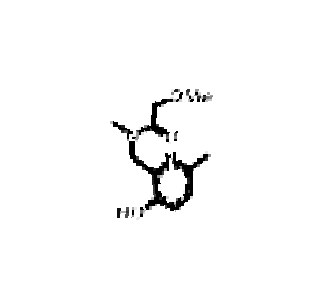 COCC(=O)N(C)Cc1nc(C)ccc1O